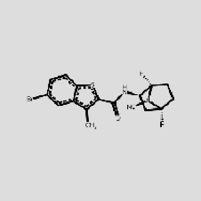 Cc1c(C(=O)N[C@@H]2C[C@@H]3CC[C@H]2N3C#N)sc2ccc(Br)cc12